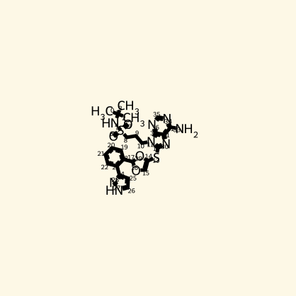 CC(C)(C)NS(=O)(=O)CCCn1c(SC2=COC(c3ccccc3-c3cc[nH]n3)O2)nc2c(N)ncnc21